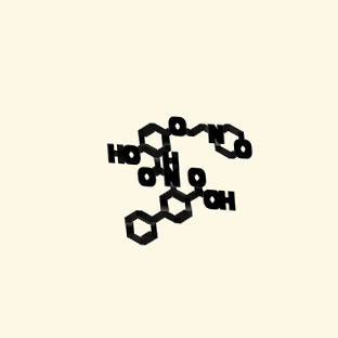 O=C(Nc1cc(-c2ccccc2)ccc1C(=O)O)c1cc(OCCN2CCOCC2)ccc1O